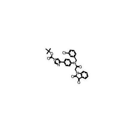 CC(C)(C)OC(=O)n1cnc(-c2ccc(N(Cc3cccc(Cl)c3)C(=O)CN3C(=O)C(=O)c4ccccc43)cc2)c1